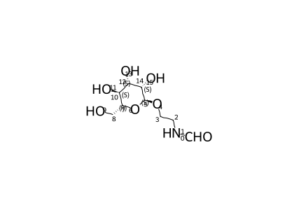 O=CNCCO[C@H]1O[C@H](CO)[C@@H](O)[C@H](O)[C@@H]1O